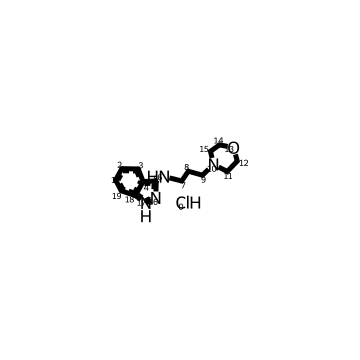 Cl.c1ccc2c(NCCCN3CCOCC3)n[nH]c2c1